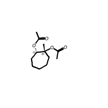 CC(=O)O[C@H]1CCCCC[C@@]1(C)OC(C)=O